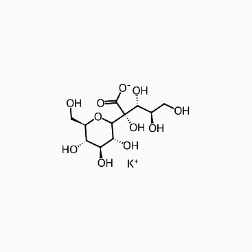 O=C([O-])[C@](O)(C1O[C@H](CO)[C@@H](O)[C@H](O)[C@H]1O)[C@H](O)[C@H](O)CO.[K+]